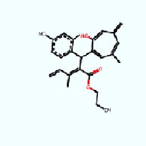 C=C/C(C)=C(/C(=O)OCCC#N)C(C1=CC(C)=CC(=C)C=C1O)c1ccc(C#N)cc1C